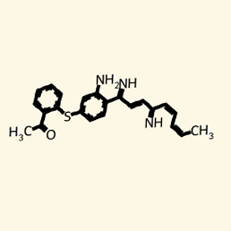 C/C=C\C=C/C(=N)/C=C/C(=N)c1ccc(Sc2ccccc2C(C)=O)cc1N